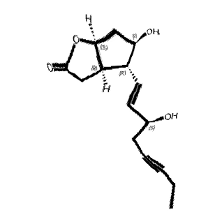 CCC#CC[C@H](O)C=C[C@@H]1[C@H]2CC(=O)O[C@H]2C[C@H]1O